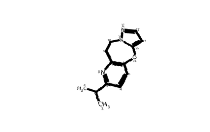 CC(C)c1ccc2c(n1)CCn1nccc1O2